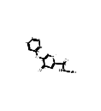 CCCCNC(=O)c1cc(=O)c(Oc2ccccc2)co1